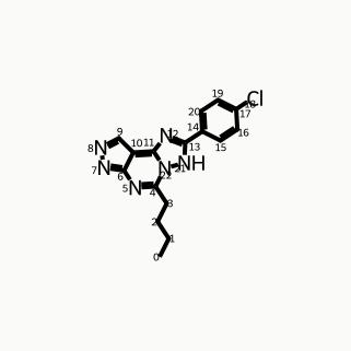 CCCCc1nc2nncc-2c2nc(-c3ccc(Cl)cc3)[nH]n12